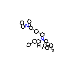 CC1(C)c2ccccc2-c2ccc(N(c3cccc(-c4ccc(-c5ccc6c(c5)c5ccccc5n6-c5cccc6ccccc56)cc4)c3)c3ccc4cc(-c5ccccc5)ccc4c3)cc21